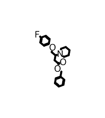 O=C(CC(COc1ccc(F)cc1)N1CCCCC1)OCc1ccccc1